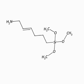 CO[Si](CCCC=CCN)(OC)OC